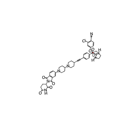 N#Cc1ccc(O[C@H]2C[C@H]3CC[C@@H](C2)N3C(=O)c2ccc(C#CC3CCN(C4CCN(c5ccc6c(c5)C(=O)N(C5CCC(=O)NC5=O)C6=O)CC4)CC3)cc2)cc1Cl